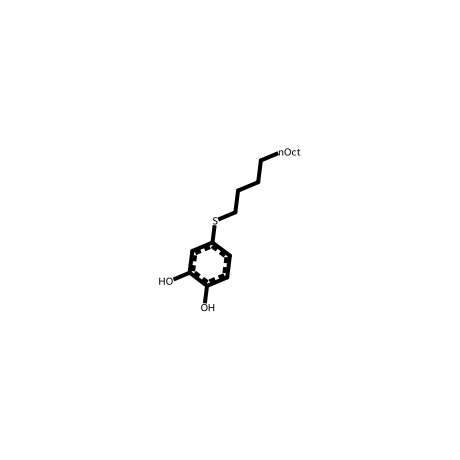 CCCCCCCCCCCCSc1ccc(O)c(O)c1